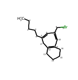 CCCCCC1=CC(CBr)=CC2=C(CCCC2)C1